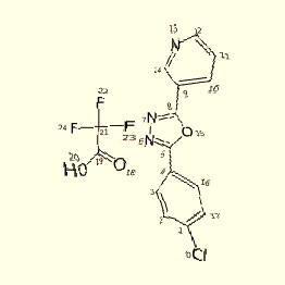 Clc1ccc(-c2nnc(-c3cccnc3)o2)cc1.O=C(O)C(F)(F)F